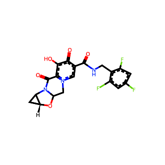 O=C(NCc1c(F)cc(F)cc1F)c1cn2c(c(O)c1=O)C(=O)N1C(C2)O[C@@H]2CC21